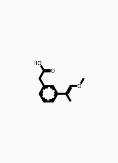 COC=C(C)c1cccc(CC(=O)O)c1